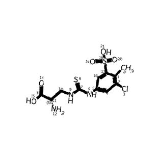 Cc1c(Cl)cc(NC(=S)NC[C@H](N)C(=O)O)cc1S(=O)(=O)O